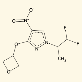 CC(C(F)F)n1cc([N+](=O)[O-])c(OC2COC2)n1